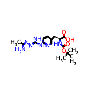 C/C(N)=N/N=C(\N)Nc1ccc(C[C@H](NC(=O)OC(C)(C)C)C(=O)O)cn1